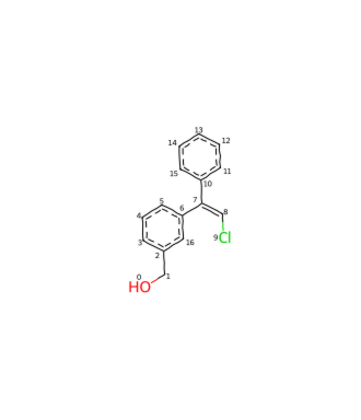 OCc1cccc(/C(=C\Cl)c2ccccc2)c1